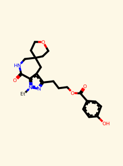 CCn1nc(CCCOC(=O)c2ccc(O)cc2)c2c1C(=O)NCC1(CCOCC1)C2